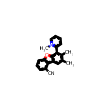 Cc1cc2c(oc3cccc(C#N)c32)c(-c2cccc[n+]2C)c1C